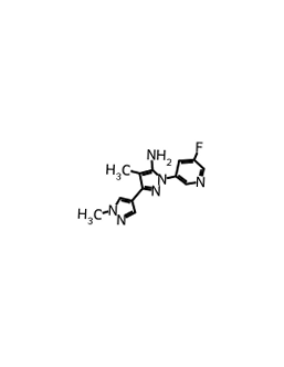 Cc1c(-c2cnn(C)c2)nn(-c2cncc(F)c2)c1N